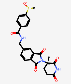 C[S+]([O-])c1ccc(C(=O)NCc2ccc3c(c2)C(=O)N([C@@]2(C)CCC(=O)NC2=O)C3=O)cc1